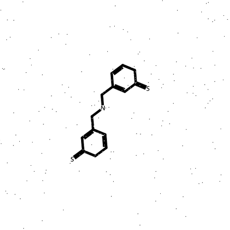 S=C1C=C(C[N]CC2=CC(=S)CC=C2)C=CC1